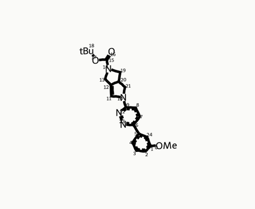 COc1cccc(-c2ccc(N3C=C4CN(C(=O)OC(C)(C)C)CC4C3)nn2)c1